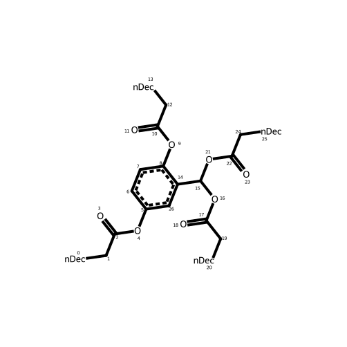 CCCCCCCCCCCC(=O)Oc1ccc(OC(=O)CCCCCCCCCCC)c(C(OC(=O)CCCCCCCCCCC)OC(=O)CCCCCCCCCCC)c1